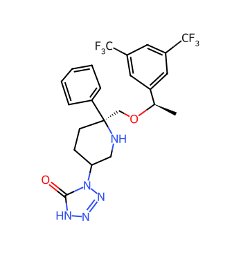 C[C@@H](OC[C@@]1(c2ccccc2)CCC(n2nn[nH]c2=O)CN1)c1cc(C(F)(F)F)cc(C(F)(F)F)c1